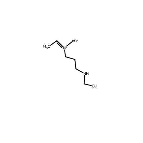 C/C=[N+](/CCC)CCCNCO